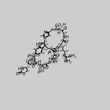 CC(C)C[C@@H]1NC(=O)[C@@H](NC(=O)[C@@H]2CCC(=O)N2)[C@@H](C(C)C)c2ccc3c4c([nH]c3c2)-n2cnc(c2)C[C@@H](C(=O)O)NC(=O)CNC(=O)[C@H](CCCN=C(N)N)NC(=O)[C@H](C4)NC(=O)[C@H](C(C)C)NC1=O